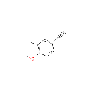 C#Cc1ccc(OC)c(C)c1